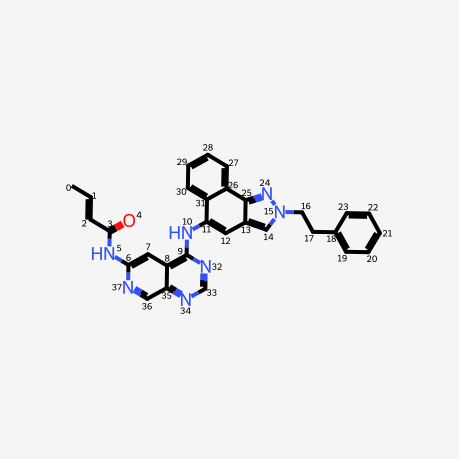 CC=CC(=O)Nc1cc2c(Nc3cc4cn(CCc5ccccc5)nc4c4ccccc34)ncnc2cn1